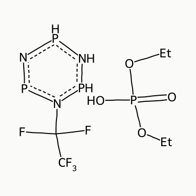 CCOP(=O)(O)OCC.FC(F)(F)C(F)(F)n1pn[pH][nH][pH]1